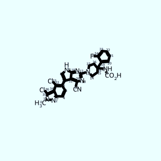 Cn1nc2ccc(-c3c[nH]c4nc(N5CCC(NC(=O)O)(c6ccccc6F)CC5)nc(C#N)c34)c(Cl)c2c1Cl